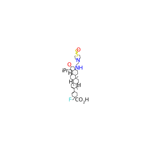 CC(C)C1=C2[C@H]3CC[C@@H]4[C@@]5(C)CC=C(C6=CC[C@](CF)(C(=O)O)CC6)C(C)(C)[C@@H]5CC[C@@]4(C)[C@]3(C)CC[C@@]2(NCCN2CCS(=S=O)CC2)CC1=O